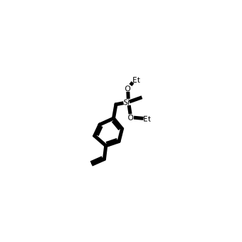 C=Cc1ccc(C[Si](C)(OCC)OCC)cc1